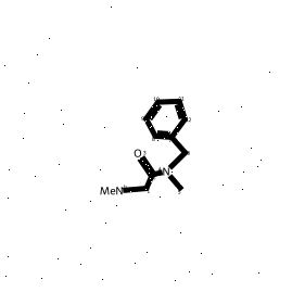 CNCC(=O)N(C)[CH]c1ccccc1